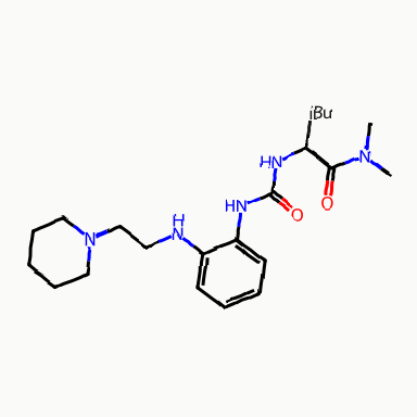 CCC(C)C(NC(=O)Nc1ccccc1NCCN1CCCCC1)C(=O)N(C)C